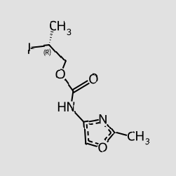 Cc1nc(NC(=O)OC[C@@H](C)I)co1